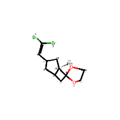 BrC(Br)=CC1CC2CC3(OCCO3)[C@@H]2C1